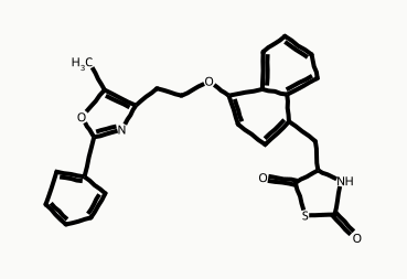 Cc1oc(-c2ccccc2)nc1CCOc1ccc(CC2NC(=O)SC2=O)c2ccccc12